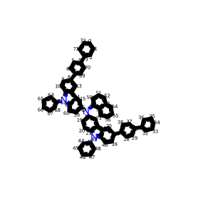 c1ccc(-c2ccc(-c3ccc4c(c3)c3cc(N(c5ccc6c(c5)c5cc(-c7ccc(-c8ccccc8)cc7)ccc5n6-c5ccccc5)c5cccc6ccccc56)ccc3n4-c3ccccc3)cc2)cc1